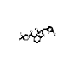 O=C(C1CCCc2nn(Cc3ccc(Cl)s3)c(=O)n21)N1CCC(F)(F)C1